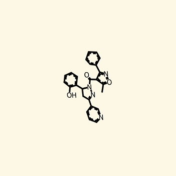 Cc1onc(-c2ccccc2)c1C(=O)N1N=C(c2cccnc2)CC1c1ccccc1O